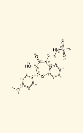 COc1ccc([C@H]2Sc3ccccc3N(CCNS(C)(=O)=O)C(=O)[C@H]2O)cc1